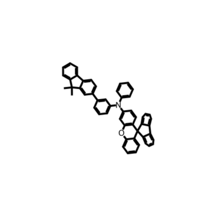 CC1(C)c2ccccc2-c2ccc(-c3cccc(N(c4ccccc4)c4ccc5c(c4)Oc4ccccc4C54c5ccccc5-c5ccccc54)c3)cc21